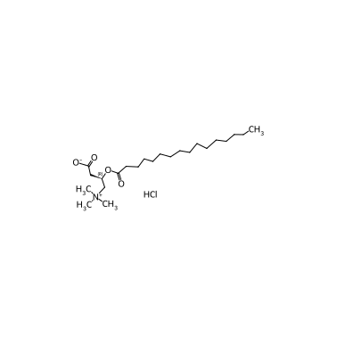 CCCCCCCCCCCCCCCC(=O)O[C@H](CC(=O)[O-])C[N+](C)(C)C.Cl